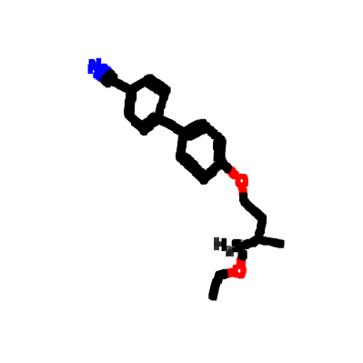 CCO[SiH2]C(C)CCOc1ccc(-c2ccc(C#N)cc2)cc1